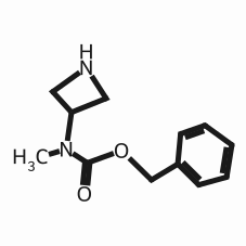 CN(C(=O)OCc1ccccc1)C1CNC1